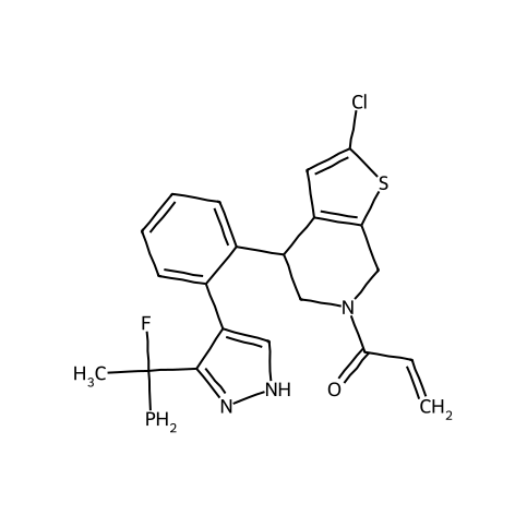 C=CC(=O)N1Cc2sc(Cl)cc2C(c2ccccc2-c2c[nH]nc2C(C)(F)P)C1